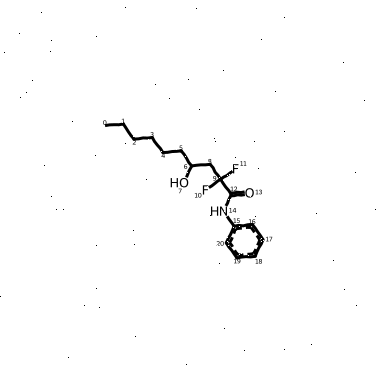 CCCCCCC(O)CC(F)(F)C(=O)Nc1ccccc1